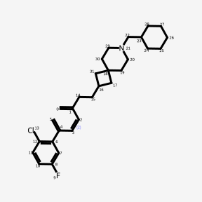 C=C(/C=C\C(=C)c1cc(F)ccc1Cl)CCC1CC2(CCN(CC3CCCCC3)CC2)C1